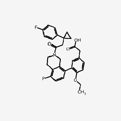 CCOc1ccc(CC(=O)O)cc1-c1ccc(F)c2c1CN(C(=O)CC1(c3ccc(F)cc3)CC1)CC2